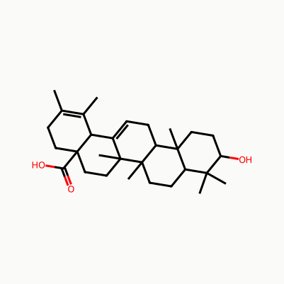 CC1=C(C)C2C3=CCC4C5(C)CCC(O)C(C)(C)C5CCC4(C)C3(C)CCC2(C(=O)O)CC1